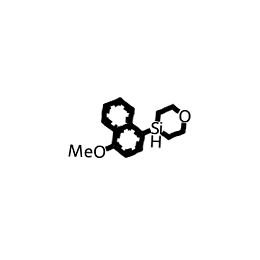 COc1ccc([SiH]2CCOCC2)c2ccccc12